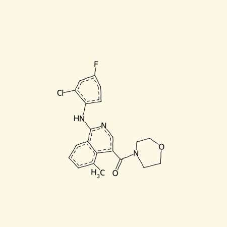 Cc1cccc2c(Nc3ccc(F)cc3Cl)ncc(C(=O)N3CCOCC3)c12